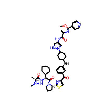 C=C(/N=C(\OC)c1ccncc1)C(=O)NC1=CN(C2CCC(Bc3cccc(C(=O)c4csc([C@@H]5CCCN5C(=O)[C@@H](NC(=O)[C@H](C)NC)C5CCCCC5)n4)c3)CC2)NC1